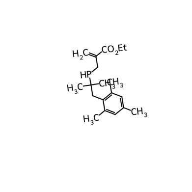 C=C(CPC(C)(C)Cc1c(C)cc(C)cc1C)C(=O)OCC